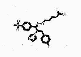 CS(=O)(=O)c1ccc(C(=NOCCCCC(=O)O)C(Cc2ccc(F)cc2)n2ccnc2)cc1